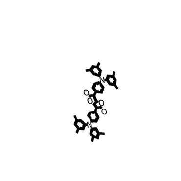 Cc1cc(C)cc(N(c2ccc(C3=C4OC(=O)C(c5ccc(N(c6cc(C)cc(C)c6)c6cc(C)cc(C)c6)cc5)=C4OC3=O)cc2)c2cc(C)cc(C)c2)c1